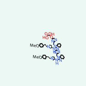 COc1ccc(CCN2CCC(Nc3nc4ccccc4n3Cc3cnccn3)C2)cc1.COc1ccc(CCN2CCC(Nc3nc4ccccc4n3Cc3cnccn3)C2)cc1.O=C(O)C(=O)O